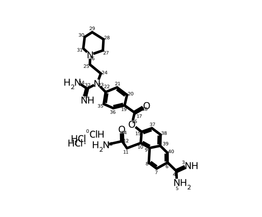 Cl.Cl.Cl.N=C(N)c1ccc2c(CC(N)=O)c(OC(=O)c3ccc(N(CCN4CCCCC4)C(=N)N)cc3)ccc2c1